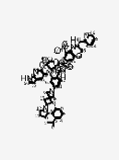 CC(C)c1ccccc1[C@@H]1CCCN1C1CC2(C1)CN(c1ccc(C(=O)NS(=O)(=O)c3cc4c(c([N+](=O)[O-])c3)N[C@@H](Cc3ccccn3)CO4)c(N3c4cc5cc[nH]c5nc4O[C@@H]4COC[C@H]43)c1)C2